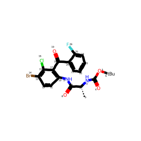 C[C@@H](NC(=O)OC(C)(C)C)C(=O)Nc1ccc(Br)c(Cl)c1C(=O)c1ccccc1F